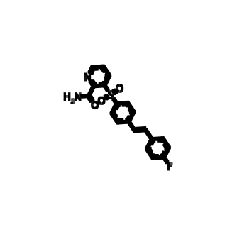 NC(=O)c1ncccc1S(=O)(=O)c1ccc(/C=C/c2ccc(F)cc2)cc1